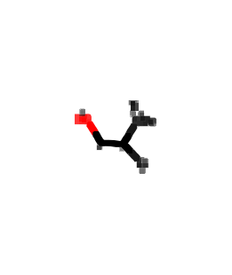 CCC(CO)OC.[Ti]